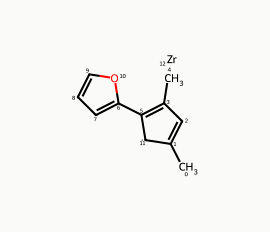 CC1=CC(C)=C(c2ccco2)[CH]1.[Zr]